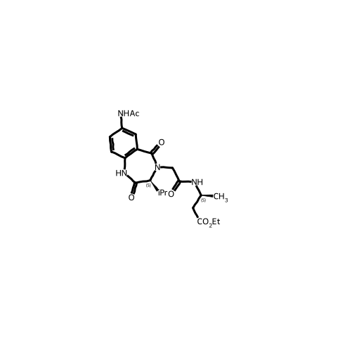 CCOC(=O)C[C@H](C)NC(=O)CN1C(=O)c2cc(NC(C)=O)ccc2NC(=O)[C@@H]1C(C)C